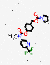 CN(C(=O)OC1CCC(COC(=O)N2CCCC2)CC1)c1ccc(C(F)(F)F)nc1